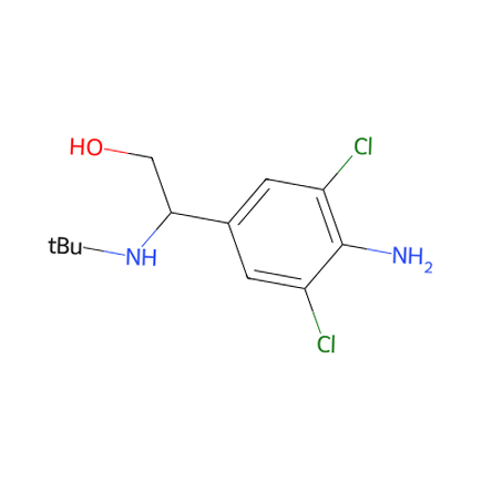 CC(C)(C)NC(CO)c1cc(Cl)c(N)c(Cl)c1